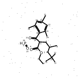 CCOC(=O)C(CC(C)CC(C)(C)C)C(=O)c1c(C)cc(C)cc1C.O=[PH3]